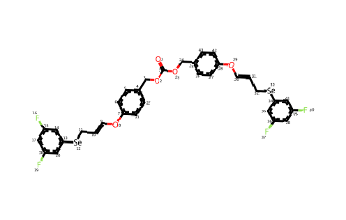 O=C(OCc1ccc(OC=CC[Se]c2cc(F)cc(F)c2)cc1)OCc1ccc(OC=CC[Se]c2cc(F)cc(F)c2)cc1